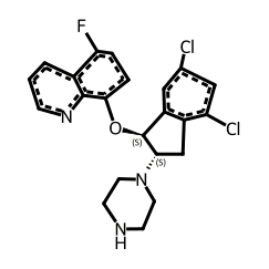 Fc1ccc(O[C@H]2c3cc(Cl)cc(Cl)c3C[C@@H]2N2CCNCC2)c2ncccc12